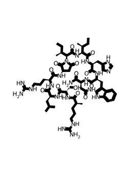 CC[C@H](C)[C@H](NC(=O)[C@H]([C@@H](C)CC)N1C(=O)C[C@H](NC(=O)[C@H](CCCNC(=N)N)NC(=O)[C@H](CC(C)C)NC(=O)[C@H](CO)NC(=O)[C@@H](C)CCCNC(=N)N)C1=O)C(=O)N[C@@H](Cc1cnc[nH]1)C(=O)N[C@@H](Cc1c[nH]c2ccccc12)C(=O)N[C@@H](CC(N)=O)C(N)=O